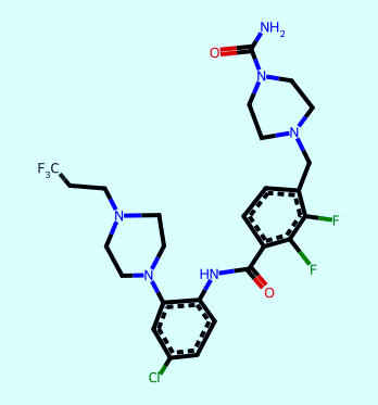 NC(=O)N1CCN(Cc2ccc(C(=O)Nc3ccc(Cl)cc3N3CCN(CCC(F)(F)F)CC3)c(F)c2F)CC1